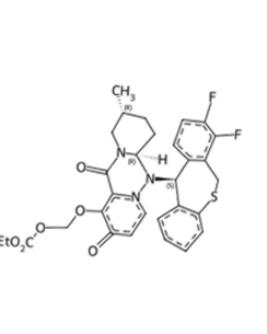 CCOC(=O)OCOc1c2n(ccc1=O)N([C@@H]1c3ccccc3SCc3c1ccc(F)c3F)[C@@H]1CC[C@@H](C)CN1C2=O